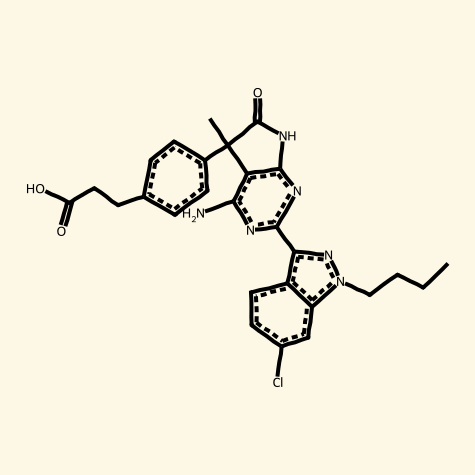 CCCCn1nc(-c2nc(N)c3c(n2)NC(=O)C3(C)c2ccc(CCC(=O)O)cc2)c2ccc(Cl)cc21